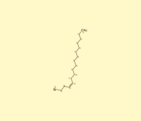 CC(=O)OCCCCCCCCCCC/C=C\CCBr